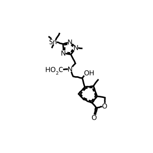 Cc1c(C(O)CN(Cc2n[c]([Sn]([CH3])([CH3])[CH3])nn2C)C(=O)O)ccc2c1COC2=O